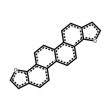 c1cc2ccc3c4ccc5c(ccc6ccoc65)c4ccc3c2o1